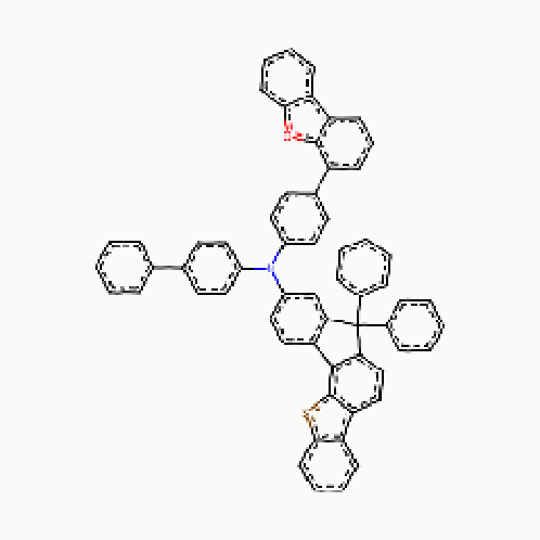 c1ccc(-c2ccc(N(c3ccc(-c4cccc5c4oc4ccccc45)cc3)c3ccc4c(c3)C(c3ccccc3)(c3ccccc3)c3ccc5c(sc6ccccc65)c3-4)cc2)cc1